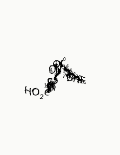 C[C@@H]1OC(=O)N(CCSc2nc(C(=O)O)cs2)[C@H]1C=CCC(C)(O)CCCCF